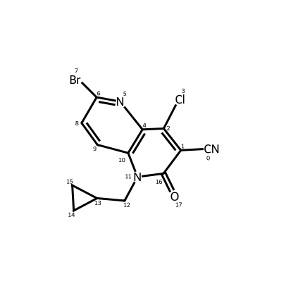 N#Cc1c(Cl)c2nc(Br)ccc2n(CC2CC2)c1=O